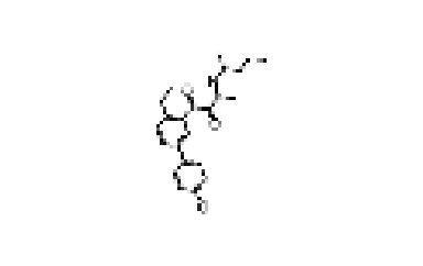 CCCC(C)=NN(C)C(=O)C(=O)c1cc(-c2ccc(Cl)cc2)ccc1CC